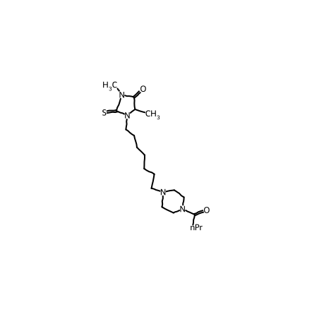 CCCC(=O)N1CCN(CCCCCCCN2C(=S)N(C)C(=O)C2C)CC1